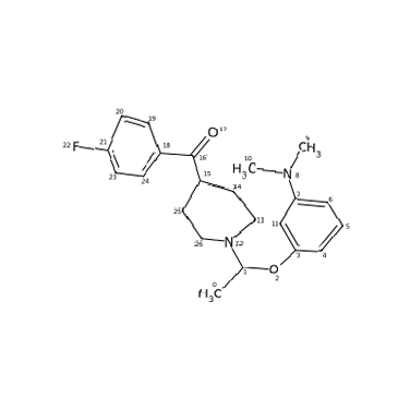 CC(Oc1cccc(N(C)C)c1)N1CCC(C(=O)c2ccc(F)cc2)CC1